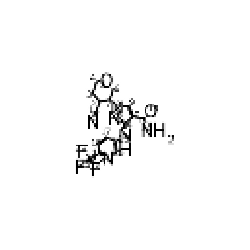 N#CC1CCOCC1n1cc(C(N)=O)c(Nc2ccc(C(F)(F)F)nc2)n1